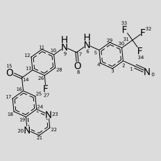 N#Cc1ccc(NC(=O)Nc2ccc(C(=O)c3ccc4nccnc4c3)c(F)c2)cc1C(F)(F)F